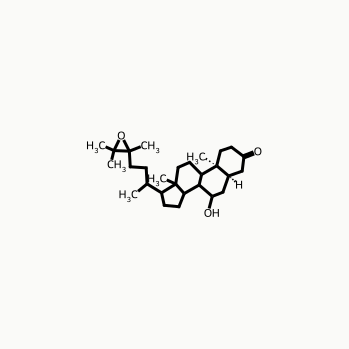 CC(CCC1(C)OC1(C)C)C1CCC2C3C(O)C[C@@H]4CC(=O)CC[C@]4(C)C3CCC12C